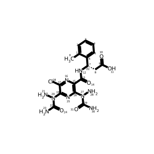 Cc1ccccc1[C@H](CC(=O)O)NC(=O)c1nc(Cl)c(N(N)C(N)=O)nc1N(N)C(N)=O